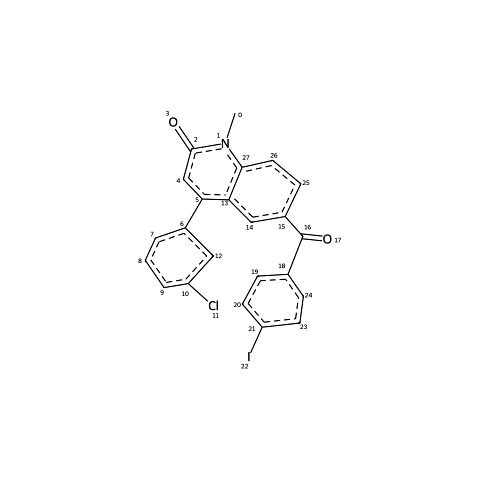 Cn1c(=O)cc(-c2cccc(Cl)c2)c2cc(C(=O)c3ccc(I)cc3)ccc21